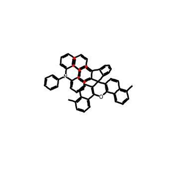 Cc1cccc2c3c(ccc12)C1(c2ccccc2-c2cc(-c4ccccc4N(c4ccccc4)c4ccccc4-c4ccccc4)ccc21)c1ccc2c(C)cccc2c1O3